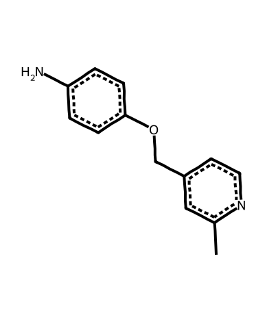 Cc1cc(COc2ccc(N)cc2)ccn1